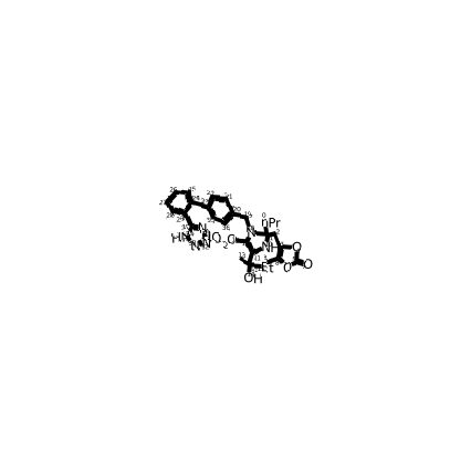 CCCC1(Cc2oc(=O)oc2C)NC(C(C)(O)CC)=C(C(=O)O)N1Cc1ccc(-c2ccccc2-c2nnn[nH]2)cc1